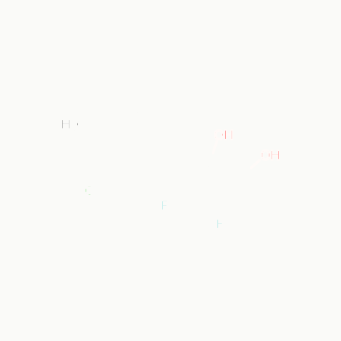 Cc1ccc(C(O)(CO)C(F)F)cc1Cl